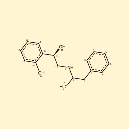 CC(Cc1ccccc1)NC[C@H](O)c1ccccc1O